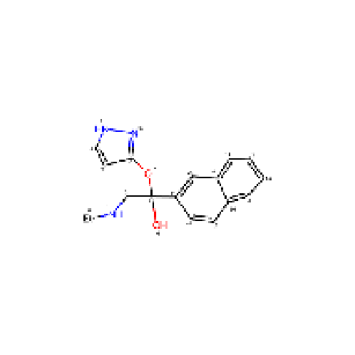 CCNCC(O)(Oc1cc[nH]n1)c1ccc2ccccc2c1